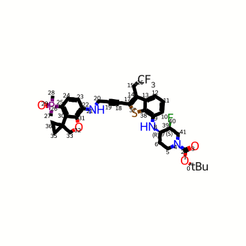 CC(C)(C)OC(=O)N1CC[C@@H](Nc2cccc3c(CC(F)(F)F)c(C#CCNc4ccc(P(C)(C)=O)c5c4OCC54CC4)sc23)[C@@H](F)C1